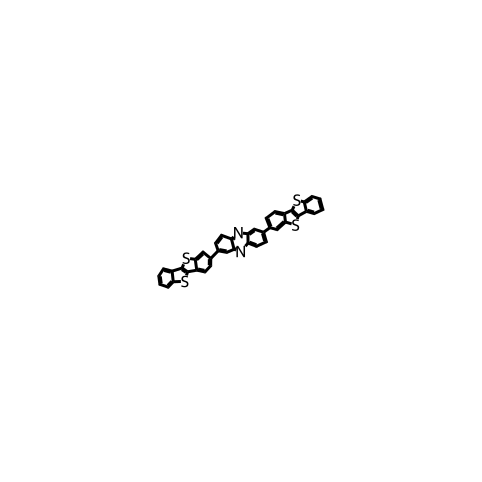 c1ccc2c(c1)sc1c3ccc(-c4ccc5nc6cc(-c7ccc8c(c7)sc7c9ccccc9sc87)ccc6nc5c4)cc3sc21